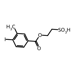 Cc1cc(C(=O)OCCS(=O)(=O)O)ccc1I